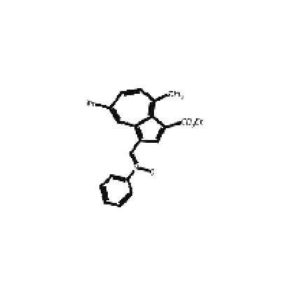 CCOC(=O)c1cc(C=[N+]([O-])c2ccccc2)c2cc(C(C)C)ccc(C)c1-2